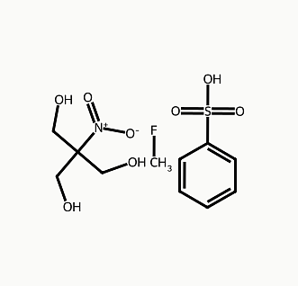 CF.O=S(=O)(O)c1ccccc1.O=[N+]([O-])C(CO)(CO)CO